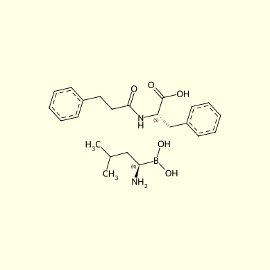 CC(C)C[C@H](N)B(O)O.O=C(CCc1ccccc1)N[C@@H](Cc1ccccc1)C(=O)O